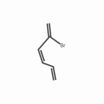 C=C/C=C\C(=C)Br